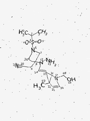 CC(C)S(=O)(=O)N1CC(CC#N)(N(N)/C=C2\C3N(CO)C=CC23C)C1